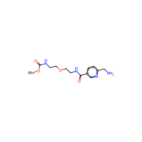 CC(C)(C)OC(=O)NCCOCCNC(=O)c1ccc(CN)nc1